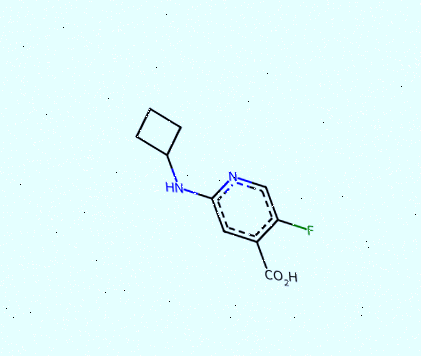 O=C(O)c1cc(NC2CCC2)ncc1F